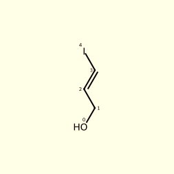 OC/C=C/I